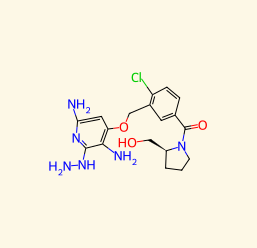 NNc1nc(N)cc(OCc2cc(C(=O)N3CCC[C@H]3CO)ccc2Cl)c1N